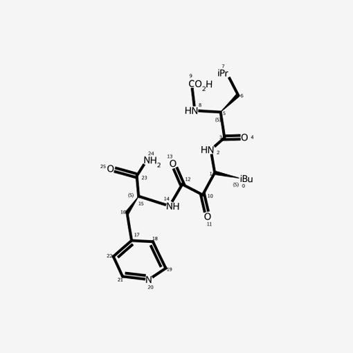 CC[C@H](C)C(NC(=O)[C@H](CC(C)C)NC(=O)O)C(=O)C(=O)N[C@@H](Cc1ccncc1)C(N)=O